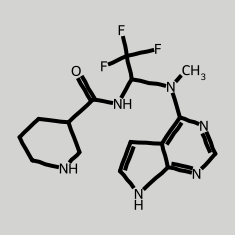 CN(c1ncnc2[nH]ccc12)C(NC(=O)C1CCCNC1)C(F)(F)F